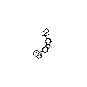 c1cc2[nH]c3ccc(C45CC6CC(CC(C6)C4)C5)cc3c2cc1C1C2CCC3CC(C2)C31